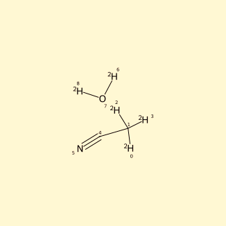 [2H]C([2H])([2H])C#N.[2H]O[2H]